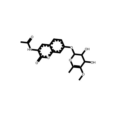 COC1=C(C)OC(Oc2ccc3cc(NC(C)=O)c(=O)oc3c2)C(O)C1O